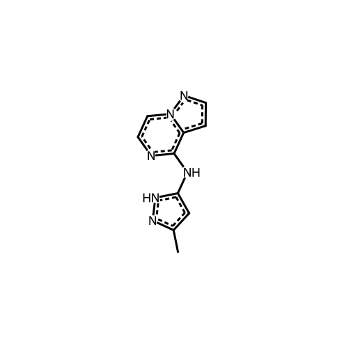 Cc1cc(Nc2nccn3nccc23)[nH]n1